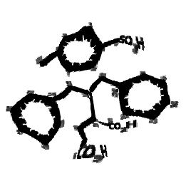 Cc1ccc(S(=O)(=O)O)cc1.O=C(O)C[C@@H](C(=O)O)N(Cc1ccccc1)Cc1ccccc1